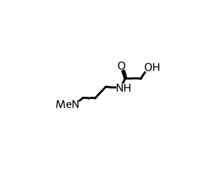 CNCCCNC(=O)CO